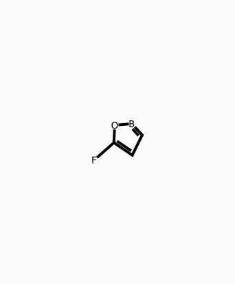 Fc1ccbo1